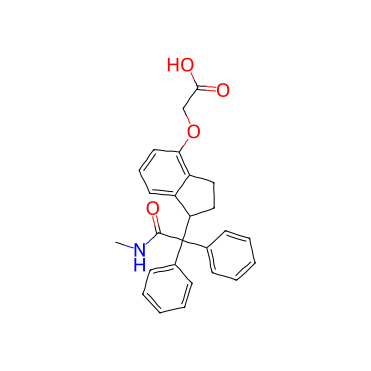 CNC(=O)C(c1ccccc1)(c1ccccc1)C1CCc2c(OCC(=O)O)cccc21